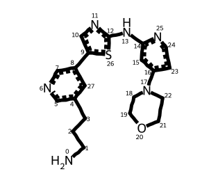 NCCCc1cncc(-c2cnc(Nc3cc(N4CCOCC4)ccn3)s2)c1